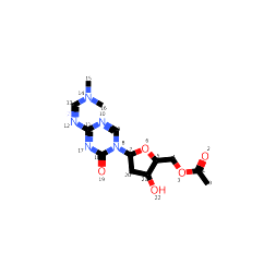 CC(=O)OCC1OC(n2cnc(/N=C\N(C)C)nc2=O)CC1O